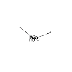 CC(C)CCCCCCCCCCCCCCC(=O)OCC(CO)(CO)COC(=O)CCCCCCCCCCCCCCC(C)C